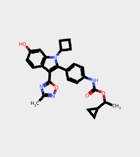 Cc1noc(-c2c(-c3ccc(NC(=O)OC(C)C4CC4)cc3)n(C3CCC3)c3cc(O)ccc23)n1